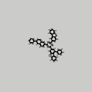 c1ccc(-c2ccc3cc(-c4nc(-c5cc(-c6ccccc6)c6c(c5)oc5ccccc56)nc(-c5ccc6sc7ccccc7c6c5)n4)ccc3c2)cc1